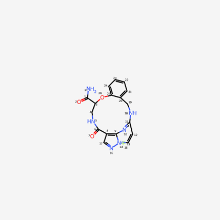 NC(=O)C1CNC(=O)C2=C3N=C(C=C[N+]3(F)N=C2)NCc2ccccc2O1